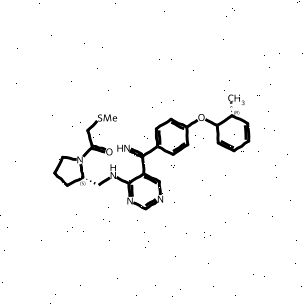 CSCC(=O)N1CCC[C@H]1CNc1ncncc1C(=N)c1ccc(OC2C=CC=C[C@H]2C)cc1